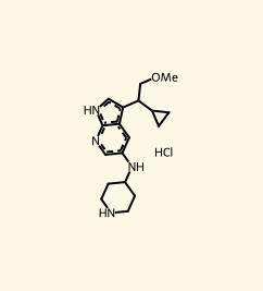 COCC(c1c[nH]c2ncc(NC3CCNCC3)cc12)C1CC1.Cl